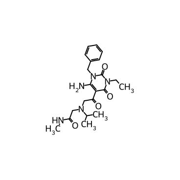 CCn1c(=O)c(C(=O)CN(CC(=O)NC)C(C)C)c(N)n(Cc2ccccc2)c1=O